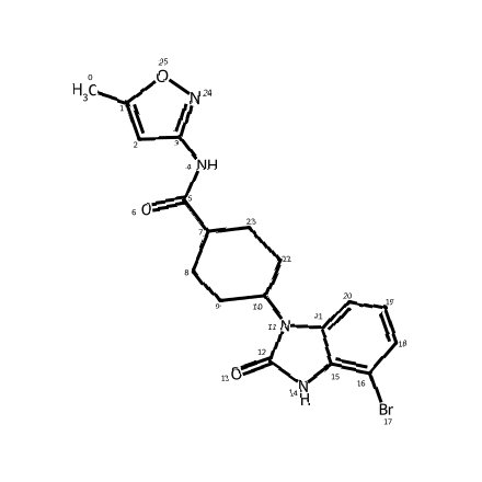 Cc1cc(NC(=O)C2CCC(n3c(=O)[nH]c4c(Br)cccc43)CC2)no1